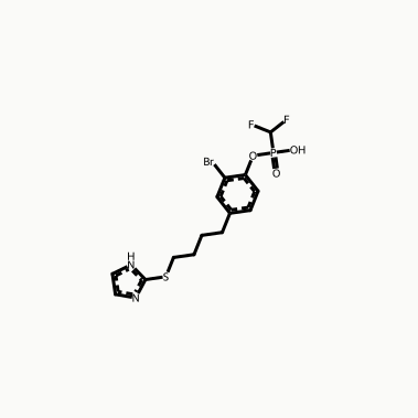 O=P(O)(Oc1ccc(CCCCSc2ncc[nH]2)cc1Br)C(F)F